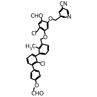 Cc1c(COc2cc(OCc3cncc(C#N)c3)c(C=O)cc2Cl)cccc1-c1cccc(-c2ccc(OCC=O)cc2)c1Cl